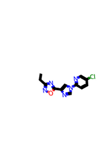 CCc1noc(-c2cn(-c3ccc(Cl)cn3)cn2)n1